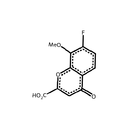 COc1c(F)ccc2c(=O)cc(C(=O)O)oc12